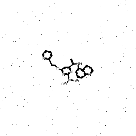 C=C(Nc1cccc2ncccc12)c1cc(OCCc2ccccn2)nc(N(CCC)CCC)n1